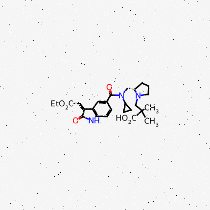 CCOC(=O)C=C1C(=O)Nc2ccc(C(=O)N(C[C@@H]3CCCN3CC(C)(C)C(=O)O)C3CC3)cc21